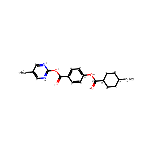 CCCCCCc1cnc(OC(=O)c2ccc(OC(=O)C3CCC(CCCCCC)CC3)cc2)nc1